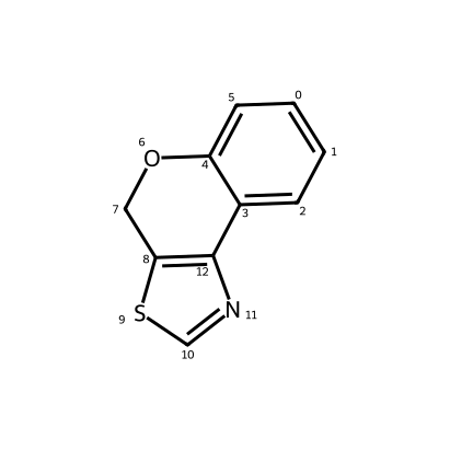 c1ccc2c(c1)OCc1scnc1-2